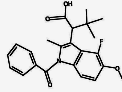 COc1ccc2c(c1F)c(C(C(=O)O)C(C)(C)C)c(C)n2C(=O)c1ccccc1